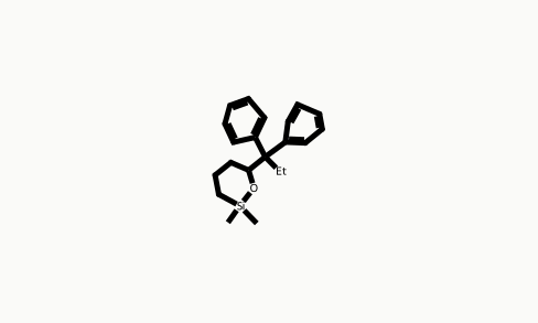 CCC(c1ccccc1)(c1ccccc1)C1CCC[Si](C)(C)O1